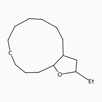 CCC1CC2CCCCCCCCCCC2O1